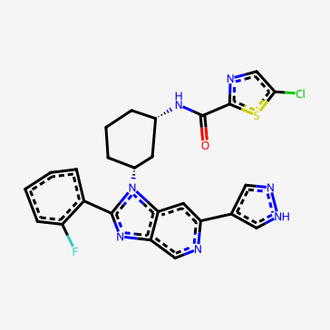 O=C(N[C@H]1CCC[C@@H](n2c(-c3ccccc3F)nc3cnc(-c4cn[nH]c4)cc32)C1)c1ncc(Cl)s1